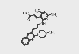 Cc1nc(N)nc(NCCCc2cc3ccccc3nc2N2CCN(C)CC2)c1/C=C/C(=O)O